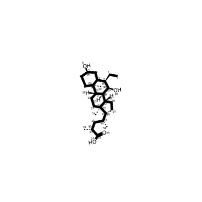 CC[C@@H]1C2C[C@H](O)CC[C@]2(C)[C@H]2CC[C@]3(C)[C@@H]([C@H](C)C[C@@H](C)C(=O)O)CC[C@H]3[C@@H]2[C@@H]1O